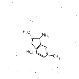 Cc1ccc2c(c1)C(N)[C@@H](C)C2.Cl